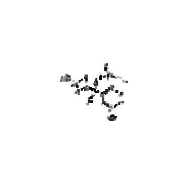 O=S(=O)(c1cc(Br)ccc1C(F)(F)F)[C@H]1C[C@H](O)C1